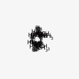 CN[C@@H](C)C(=O)N[C@H]1C#CC#CC[C@H](NC(=O)[C@H](C)NC)C(=O)N2C[C@H](C[C@H]2C(=O)N[C@@H]2CCCc3ccccc32)NC(=O)c2ccc(cc2)C(=O)N[C@H]2C[C@@H](C(=O)N[C@@H]3CCCc4ccccc43)N(C2)C1=O